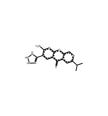 CC(C)c1cc2c(=O)c3cc(C4=NNNN4)c(N)nc3oc2cn1